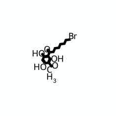 CC(=O)c1c(O)cc(O)c(C(=O)CCCCCCCBr)c1O